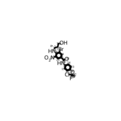 C[C@H](CCO)Nc1c(Br)cc(C(=O)Nc2ccc(OC(F)(F)Cl)cc2)cc1[N+](=O)[O-]